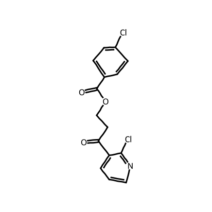 O=C(OCCC(=O)c1cccnc1Cl)c1ccc(Cl)cc1